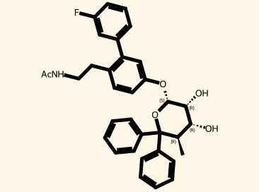 CC(=O)NCCc1ccc(O[C@H]2OC(c3ccccc3)(c3ccccc3)[C@H](C)[C@@H](O)[C@H]2O)cc1-c1cccc(F)c1